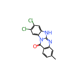 Cc1ccc2c(=O)n3c(nc2c1)[nH]c1cc(Cl)c(Cl)cc13